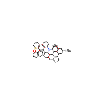 CC(C)(C)c1cc(-c2cccc3cccc(-c4ccccc4N(c4cccc(-c5cccc6oc7ccccc7c56)c4)c4ccccc4-c4cccc5sc6ccccc6c45)c23)cc(C(C)(C)C)c1